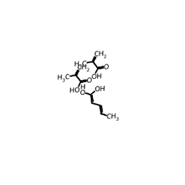 C=C(C)C(=O)O.C=C(C)C(=O)O.CC=CC=C(O)O